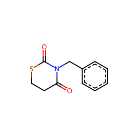 O=C1CCSC(=O)N1Cc1ccccc1